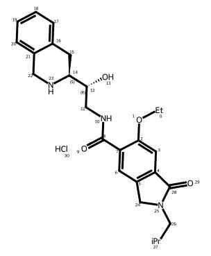 CCOc1cc2c(cc1C(=O)NC[C@@H](O)[C@@H]1Cc3ccccc3CN1)CN(CC(C)C)C2=O.Cl